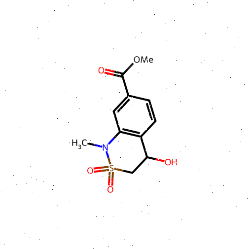 COC(=O)c1ccc2c(c1)N(C)S(=O)(=O)CC2O